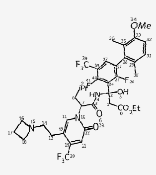 CCOC(=O)C[C@](O)(NC(=O)C(CC(C)C)n1cc(CCN2CCC2)c(C(F)(F)F)cc1=O)c1c(F)c(-c2c(C)ccc(OC)c2C)cc(C(F)(F)F)c1F